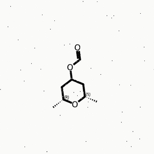 C[C@@H]1CC(OC=O)C[C@H](C)O1